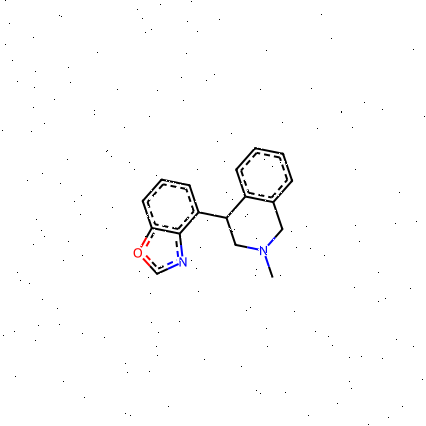 CN1Cc2ccccc2C(c2cccc3ocnc23)C1